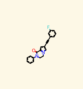 O=C1c2cc(C#Cc3cccc(F)c3)cn2CCN1c1ccccc1